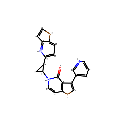 O=c1c2c(-c3cccnc3)csc2ccn1C1CC1c1ccc2sccc2n1